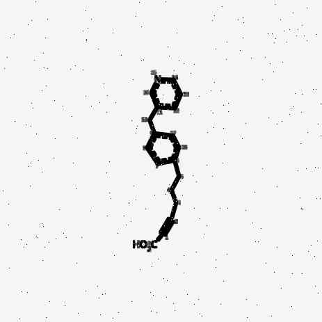 O=C(O)C#CCCCc1ccc(Cc2cccnc2)cc1